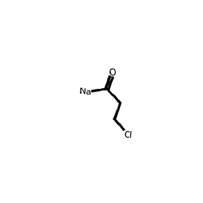 O=[C]([Na])CCCl